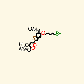 COC(=O)C(C)CC(=O)c1cc2cc(OCCCCCBr)c(OC)cc2s1